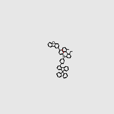 CCc1cccc(N(c2ccc(-c3ccc4oc5ccccc5c4c3)cc2)c2ccc(-c3cccc4c3-c3ccccc3C4(c3ccccc3)c3ccccc3)cc2)c1-c1ccccc1C